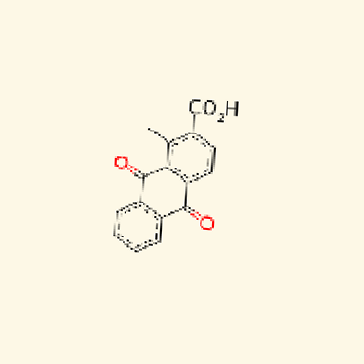 Cc1c(C(=O)O)ccc2c1C(=O)c1ccccc1C2=O